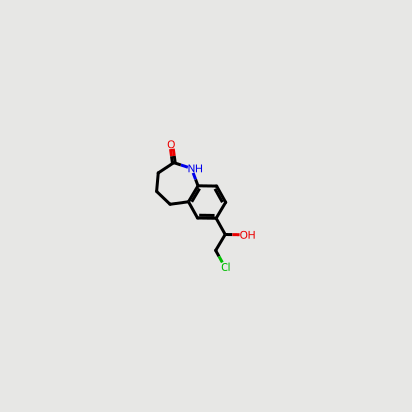 O=C1CCCc2cc(C(O)CCl)ccc2N1